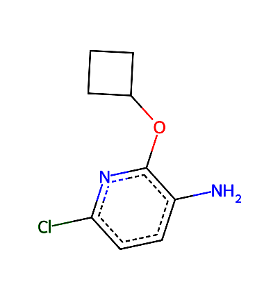 Nc1ccc(Cl)nc1OC1CCC1